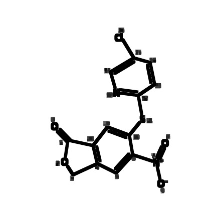 O=C1OCc2cc([N+](=O)[O-])c(Sc3ccc(Cl)cn3)cc21